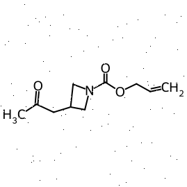 C=CCOC(=O)N1CC(CC(C)=O)C1